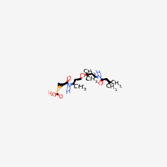 CC(C)CC(=O)NCCC(C)(C)OCCC(C)NC(=O)C1CP1C(=O)O